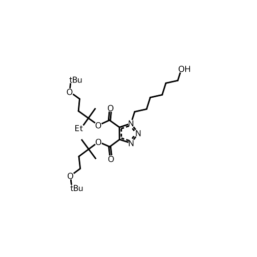 CCC(C)(CCOC(C)(C)C)OC(=O)c1c(C(=O)OC(C)(C)CCOC(C)(C)C)nnn1CCCCCCO